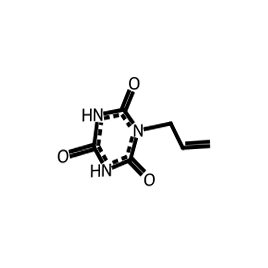 C=CCn1c(=O)[nH]c(=O)[nH]c1=O